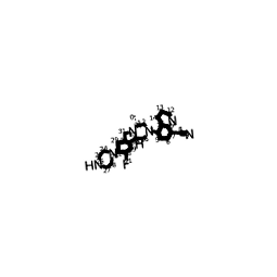 C[C@@H]1CN(c2ccc(C#N)c3ncccc23)C[C@@H]2c3cc(F)c(N4CCNCC4)cc3CN12